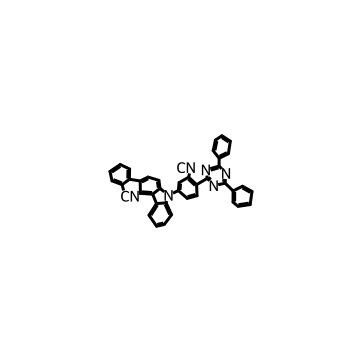 N#Cc1ccccc1-c1ccc2c(c1)c1ccccc1n2-c1ccc(-c2nc(-c3ccccc3)nc(-c3ccccc3)n2)c(C#N)c1